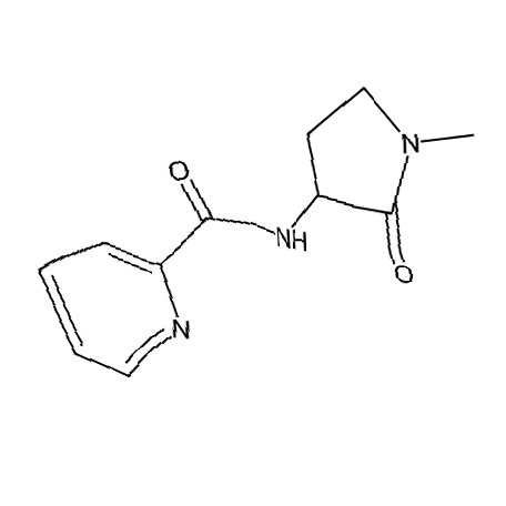 CN1CCC(NC(=O)c2ccccn2)C1=O